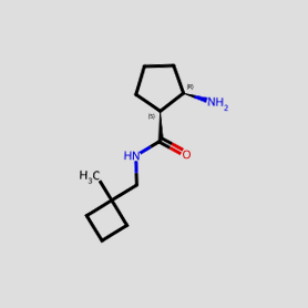 CC1(CNC(=O)[C@H]2CCC[C@H]2N)CCC1